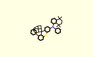 CC1(C)CCC(C)(C)c2c(N(c3ccccc3)c3ccc4c(c3)Sc3cccc(-c5ccccc5)c3C43C4CC5CC6CC3C64C5)cccc21